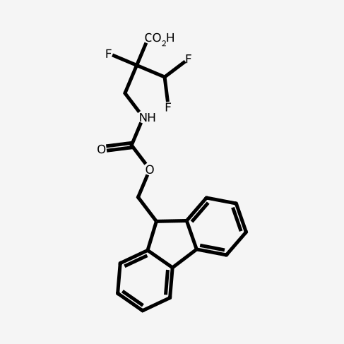 O=C(NCC(F)(C(=O)O)C(F)F)OCC1c2ccccc2-c2ccccc21